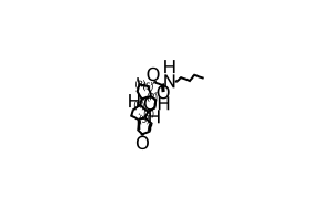 CCCCCNC(=O)C(=O)[C@H]1[C@H](C)CC2(O)[C@@H]3CCC4=CC(=O)C=C[C@]4(C)[C@H]3CC[C@]12C